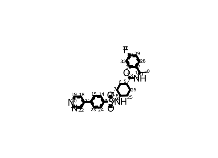 C[C@@H](NC(=O)[C@H]1CC[C@H](NS(=O)(=O)c2ccc(-c3ccnnc3)cc2)CC1)c1ccc(F)cc1